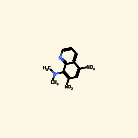 CN(C)c1c([N+](=O)[O-])cc([N+](=O)[O-])c2cccnc12